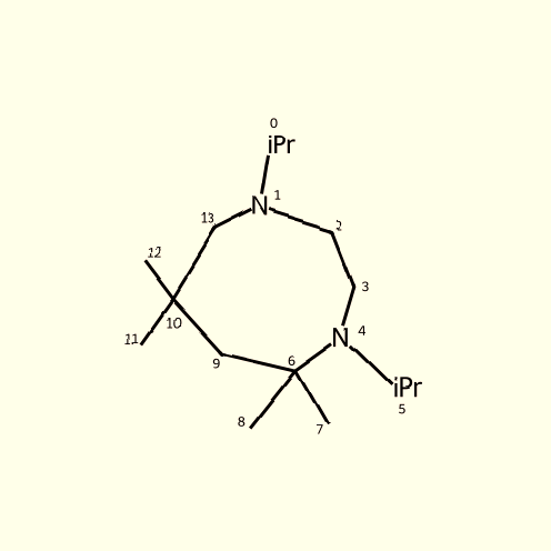 CC(C)N1CCN(C(C)C)C(C)(C)CC(C)(C)C1